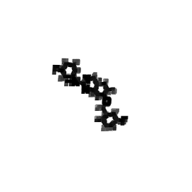 Cc1cc2cnc(Nc3cccc(F)c3)nc2cc1OCc1cccc(F)c1